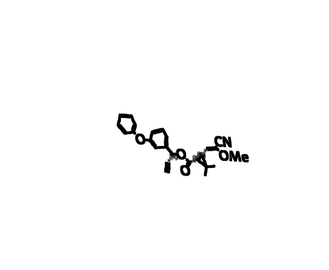 C#C[C@@H](OC(=O)[C@@H]1[C@H](C=C(C#N)OC)C1(C)C)c1cccc(Oc2ccccc2)c1